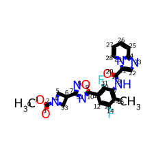 COC(=O)N1CC(c2noc(-c3cc(F)c(C)c(NC(=O)c4cnc5ccccn45)c3F)n2)C1